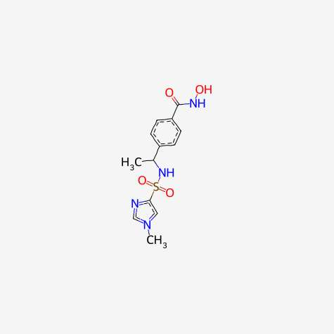 CC(NS(=O)(=O)c1cn(C)cn1)c1ccc(C(=O)NO)cc1